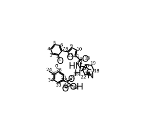 COc1ccccc1-c1ccc(C(=O)N[C@H]2CN3CCC2CC3)o1.Cc1ccc(S(=O)(=O)O)cc1